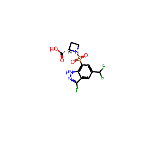 O=C(O)[C@@H]1CCN1S(=O)(=O)c1cc(C(F)F)cc2c(F)n[nH]c12